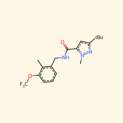 Cc1c(CNC(=O)c2cc(C(C)(C)C)nn2C)cccc1OC(F)(F)F